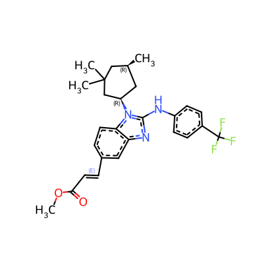 COC(=O)/C=C/c1ccc2c(c1)nc(Nc1ccc(C(F)(F)F)cc1)n2[C@@H]1C[C@H](C)CC(C)(C)C1